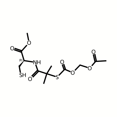 COC(=O)[C@H](CS)NC(=O)C(C)(C)SC(=O)OCOC(C)=O